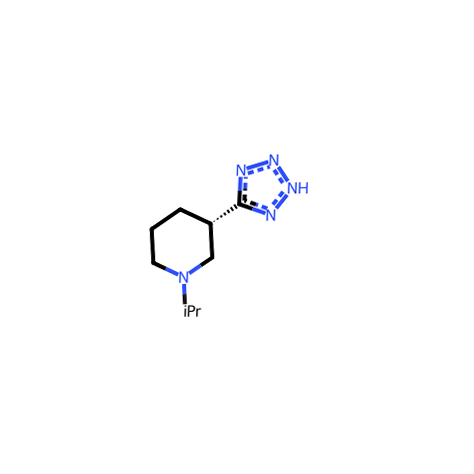 CC(C)N1CCC[C@H](c2nn[nH]n2)C1